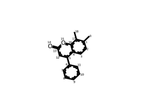 Cc1ccc2c(-c3ccccc3)cc(=O)oc2c1C